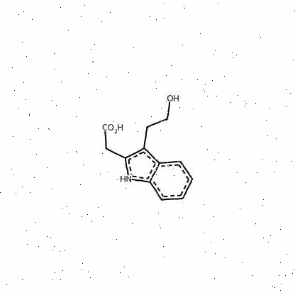 O=C(O)Cc1[nH]c2ccccc2c1CCO